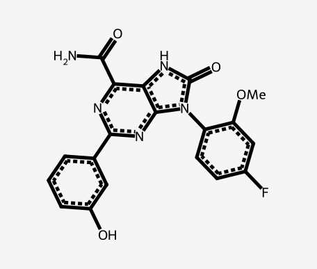 COc1cc(F)ccc1-n1c(=O)[nH]c2c(C(N)=O)nc(-c3cccc(O)c3)nc21